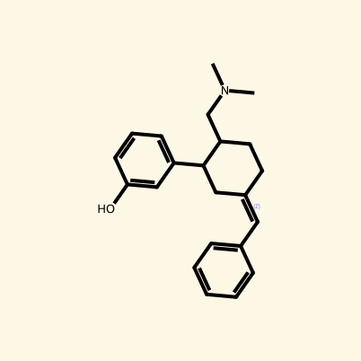 CN(C)CC1CC/C(=C/c2ccccc2)CC1c1cccc(O)c1